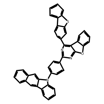 c1ccc2cc3c(cc2c1)c1ccccc1n3-c1ccc(-c2nc(-c3ccc4c(c3)sc3ccccc34)c3c(n2)oc2ccccc23)cc1